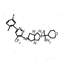 BC(B)(C1CCOCC1)N1C[C@H]2C[C@H](Nc3nnc(-c4cc(F)ccc4C)cc3C(F)(F)F)C[C@H]2C1